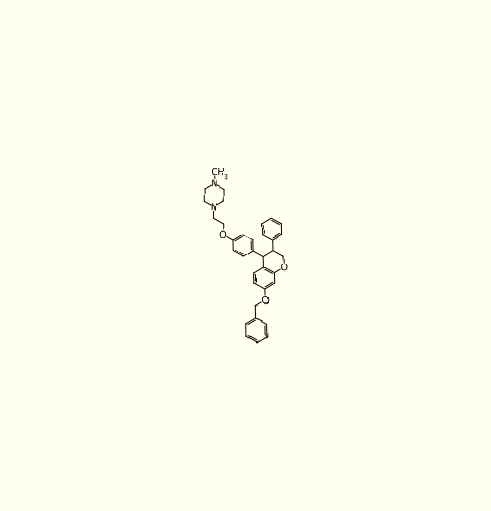 CN1CCN(CCOc2ccc(C3c4ccc(OCc5ccccc5)cc4OCC3c3ccccc3)cc2)CC1